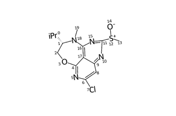 CC(C)[C@H]1COc2nc(Cl)cc3nc([S+](C)[O-])nc(c23)N1C